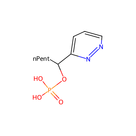 CCCCCC(OP(=O)(O)O)c1cccnn1